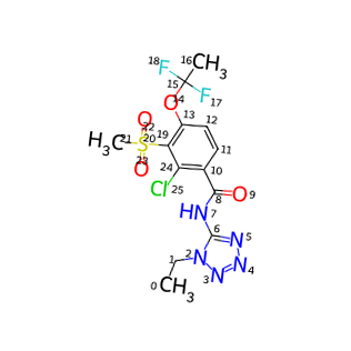 CCn1nnnc1NC(=O)c1ccc(OC(C)(F)F)c(S(C)(=O)=O)c1Cl